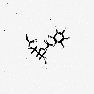 CCC(=O)OC(C)(C)C(C)(COC(=O)Oc1c(F)c(F)c(F)c(F)c1F)C(C)(C)OC